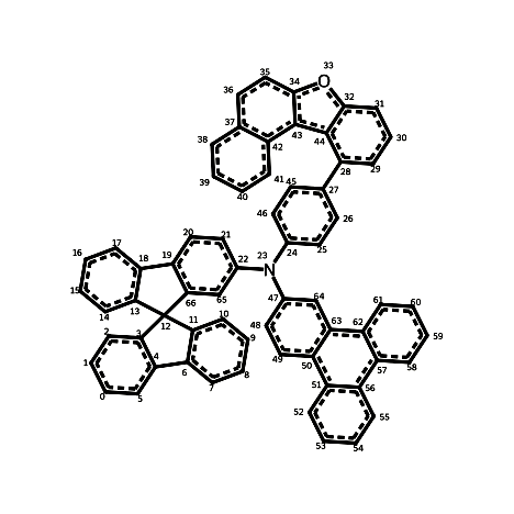 c1ccc2c(c1)-c1ccccc1C21c2ccccc2-c2ccc(N(c3ccc(-c4cccc5oc6ccc7ccccc7c6c45)cc3)c3ccc4c5ccccc5c5ccccc5c4c3)cc21